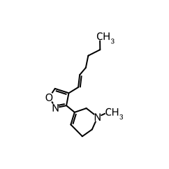 CCCC/C=C/c1conc1C1=CCCN(C)C1